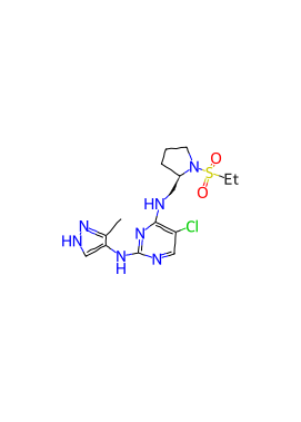 CCS(=O)(=O)N1CCC[C@@H]1CNc1nc(Nc2c[nH]nc2C)ncc1Cl